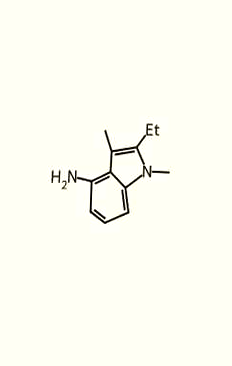 CCc1c(C)c2c(N)cccc2n1C